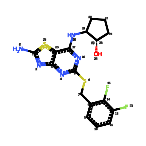 Nc1nc2nc(SCc3cccc(F)c3F)nc(NC3CCC[C@@H]3O)c2s1